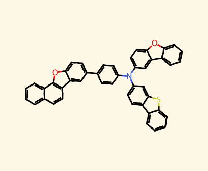 c1ccc2c(c1)ccc1c3cc(-c4ccc(N(c5ccc6c(c5)sc5ccccc56)c5ccc6oc7ccccc7c6c5)cc4)ccc3oc21